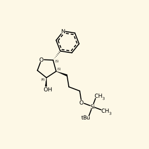 CC(C)(C)[Si](C)(C)OCCC[C@@H]1[C@@H](c2cccnc2)OC[C@@H]1O